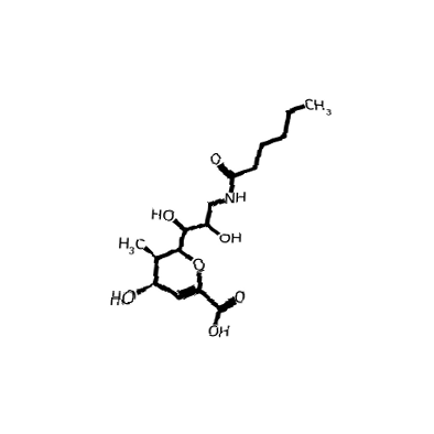 CCCCCC(=O)NCC(O)C(O)C1OC(C(=O)O)=C[C@@H](O)[C@H]1C